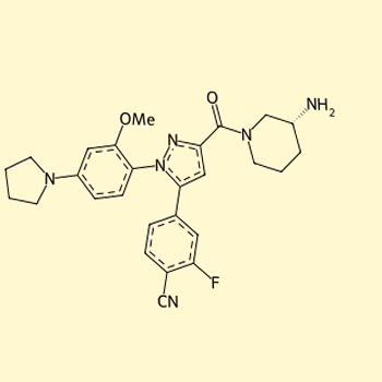 COc1cc(N2CCCC2)ccc1-n1nc(C(=O)N2CCC[C@@H](N)C2)cc1-c1ccc(C#N)c(F)c1